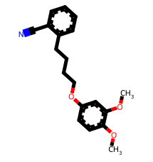 COc1ccc(OCCCCc2ccccc2C#N)cc1OC